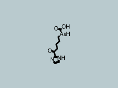 O=C(O)[AsH]CCCCC(=O)c1ncc[nH]1